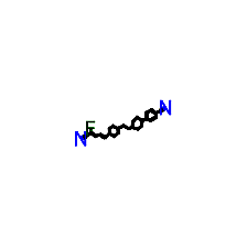 N#CC(F)=CC=CC1CCC(CCC2CCC(c3ccc(C#N)cc3)CC2)CC1